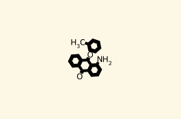 Cc1ccccc1.Nc1cccc2c1C(=O)c1ccccc1C2=O